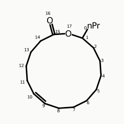 CCCC1CCCCCCCC=CCCCCC(=O)O1